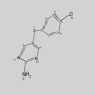 Nc1ncc(Oc2ccc(Cl)cc2)cn1